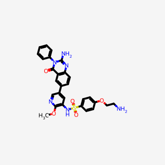 COc1ncc(-c2ccc3nc(N)n(-c4ccccc4)c(=O)c3c2)cc1NS(=O)(=O)c1ccc(OCCN)cc1